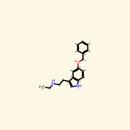 FC(F)(F)CNCCc1c[nH]c2ccc(OCc3ccccc3)cc12